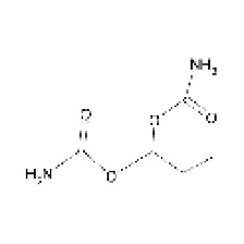 CCC(OC(N)=O)OC(N)=O